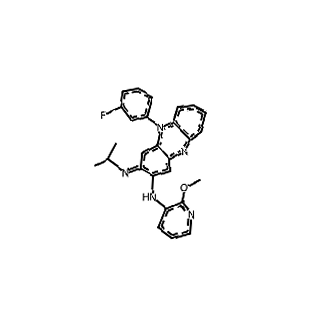 COc1ncccc1Nc1cc2nc3ccccc3n(-c3cccc(F)c3)c-2c/c1=N\C(C)C